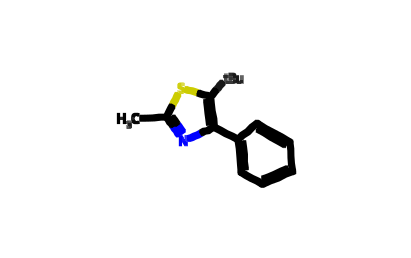 Cc1nc(-c2ccccc2)c(C(C)(C)C)s1